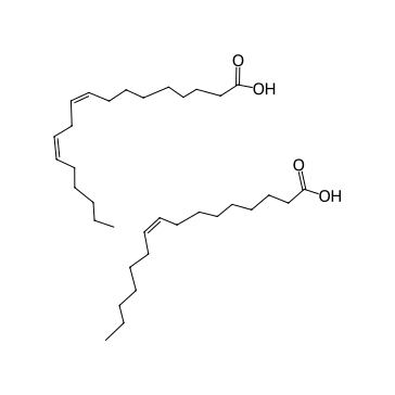 CCCCC/C=C\C/C=C\CCCCCCCC(=O)O.CCCCCC/C=C\CCCCCCCC(=O)O